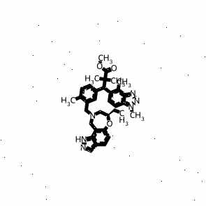 CC[C@@H]1CN(Cc2cc(C(c3ccc4c(nnn4C)c3C)C(C)(C)C(=O)OC)ccc2C)Cc2c(ccc3cn[nH]c23)O1